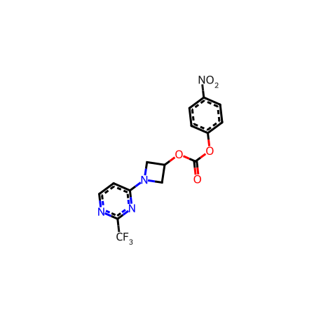 O=C(Oc1ccc([N+](=O)[O-])cc1)OC1CN(c2ccnc(C(F)(F)F)n2)C1